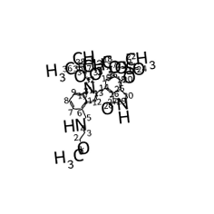 COCCNCc1cccc2c1cc(-c1cc(OC)c(OS(C)(=O)=O)c3c1C(=O)NC3)n2C(=O)OC(C)(C)C